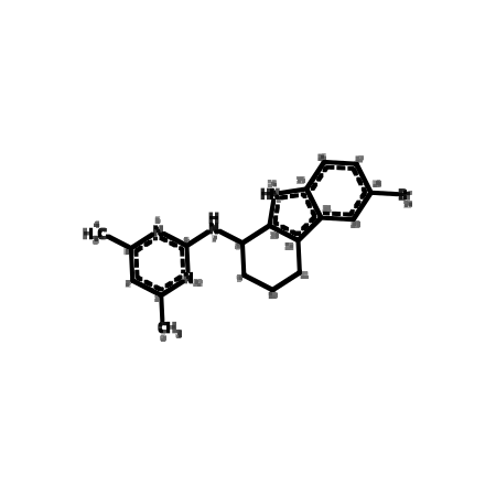 Cc1cc(C)nc(NC2CCCc3c2[nH]c2ccc(Br)cc32)n1